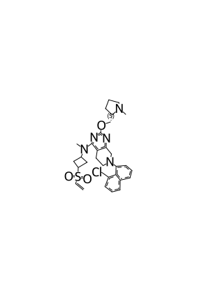 C=CS(=O)(=O)C1CC(N(C)c2nc(OC[C@@H]3CCCN3C)nc3c2CCN(c2cccc4cccc(Cl)c24)C3)C1